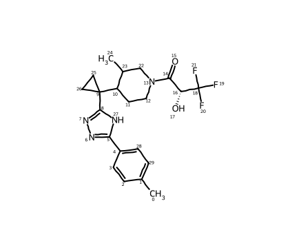 Cc1ccc(-c2nnc(C3(C4CCN(C(=O)[C@@H](O)C(F)(F)F)CC4C)CC3)[nH]2)cc1